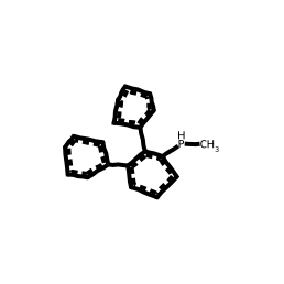 CPc1cccc(-c2ccccc2)c1-c1ccccc1